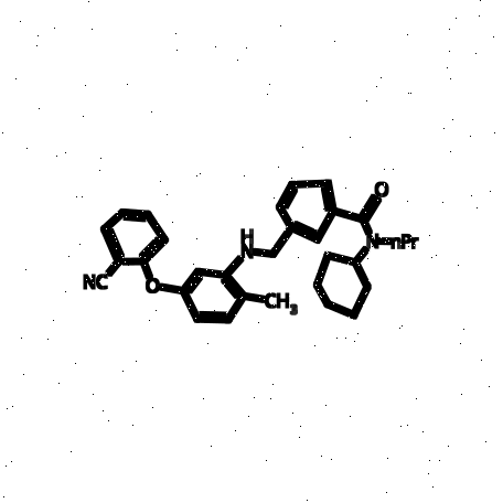 CCCN(C(=O)c1cccc(CNc2cc(Oc3ccccc3C#N)ccc2C)c1)C1CCCCC1